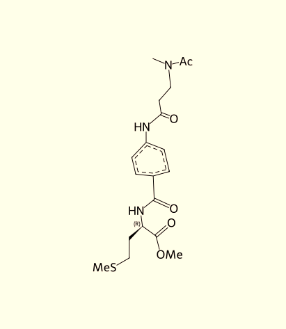 COC(=O)[C@@H](CCSC)NC(=O)c1ccc(NC(=O)CCN(C)C(C)=O)cc1